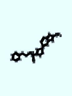 Nc1nc2ccc(-c3csc(C(=O)NCCc4ccccc4)c3)cn2n1